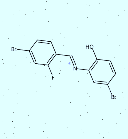 Oc1ccc(Br)cc1/N=C/c1ccc(Br)cc1F